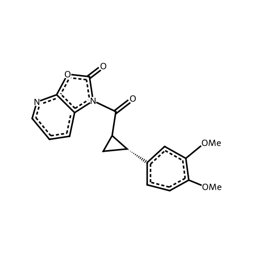 COc1ccc([C@@H]2CC2C(=O)n2c(=O)oc3ncccc32)cc1OC